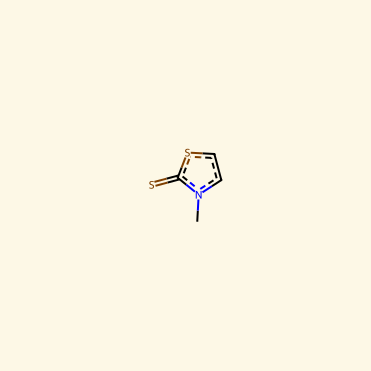 Cn1ccsc1=S